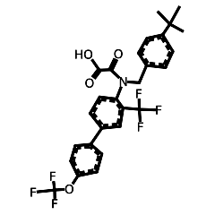 CC(C)(C)c1ccc(CN(C(=O)C(=O)O)c2ccc(-c3ccc(OC(F)(F)F)cc3)cc2C(F)(F)F)cc1